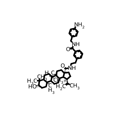 C=C(C)[C@@H]1CC[C@]2(C(=O)NCCc3cccc(C(=O)NCc4ccc(N)cc4)c3)CC[C@]3(C)C(CCC4[C@@]5(C)CC[C@H](O)C(C)(C)C5CC[C@]43C)C12